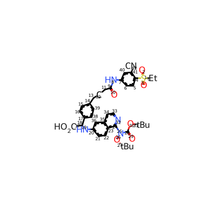 CCS(=O)(=O)c1ccc(NC(=O)CCCc2ccc(C(Nc3ccc4c(N(OC(C)(C)C)C(=O)OC(C)(C)C)nccc4c3)C(=O)O)cc2)cc1C#N